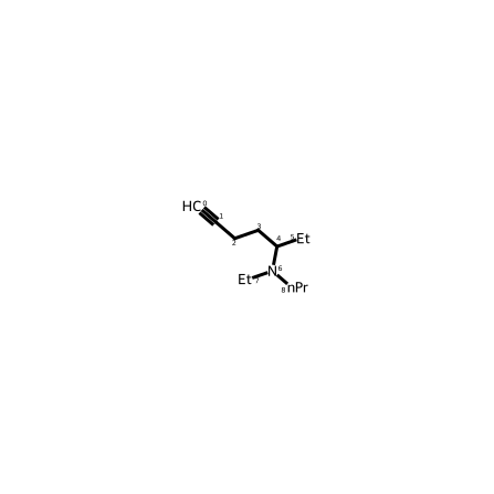 C#CCCC(CC)N(CC)CCC